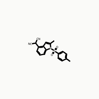 Cc1ccc(S(=O)(=O)n2c(C)cc3c(C(C#N)C#N)cccc32)cc1